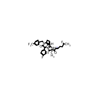 CC[C@H]1N=C([C@H]2CC3(N(Cc4ccc(C(F)(F)F)cc4)C(=O)C(=O)c4ccc(F)cc4)CC2C3)N[C@@]1(C)C(=O)/C=C/CC[C@H](C)F